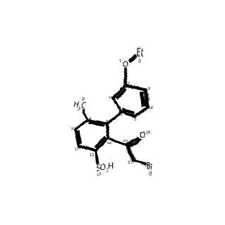 CCOc1cccc(-c2c(C)ccc(S(=O)(=O)O)c2C(=O)CBr)c1